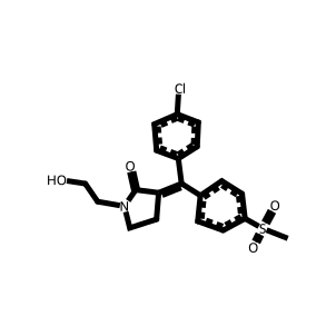 CS(=O)(=O)c1ccc(C(=C2CCN(CCO)C2=O)c2ccc(Cl)cc2)cc1